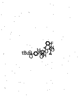 CC(C)(C)OC(=O)c1ccc(N2C(=O)[C@@H]3C[C@H]2C[C@H]3OCc2c(-c3c(F)cccc3C3CC3)noc2C2CC2)cc1